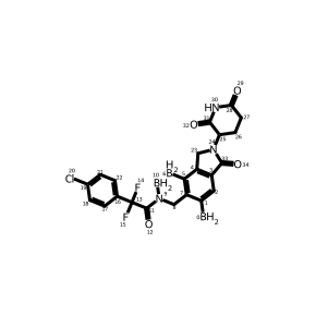 Bc1cc2c(c(B)c1CN(B)C(=O)C(F)(F)c1ccc(Cl)cc1)CN(C1CCC(=O)NC1=O)C2=O